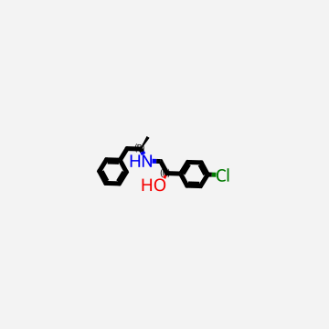 C[C@H](Cc1ccccc1)NC[C@H](O)c1ccc(Cl)cc1